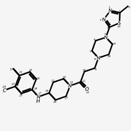 Cc1nnc(N2CCN(CCC(=O)N3CCC(Nc4ccc(C)c(C(F)(F)F)c4)CC3)CC2)s1